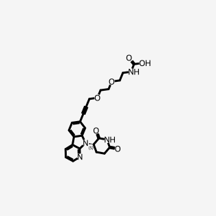 O=C(O)NCCOCCOCC#Cc1ccc2c3cccnc3n([C@H]3CCC(=O)NC3=O)c2c1